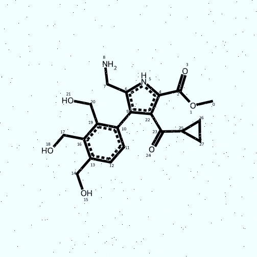 COC(=O)c1[nH]c(CN)c(-c2ccc(CO)c(CO)c2CO)c1C(=O)C1CC1